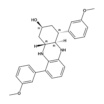 COc1cccc(-c2cccc3c2N[C@@H]2C[C@@H](O)C[C@H](c4cccc(OC)c4)[C@H]2N3)c1